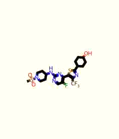 CS(=O)(=O)N1CCC(Nc2ncc(F)c(-c3sc(C4CCC(O)CC4)nc3C(F)(F)F)n2)CC1